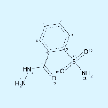 NNC(=O)c1ccccc1S(N)(=O)=O